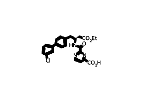 CCOC(=O)C[C@@H](Cc1ccc(-c2cccc(Cl)c2)cc1)NC(=O)c1nccc(C(=O)O)n1